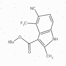 Cc1[nH]c2ccc(C#N)c(C(F)(F)F)c2c1C(=O)OC(C)(C)C